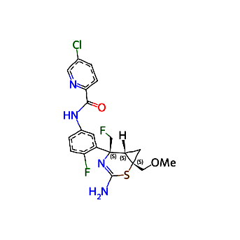 COC[C@]12C[C@H]1[C@@](CF)(c1cc(NC(=O)c3ccc(Cl)cn3)ccc1F)N=C(N)S2